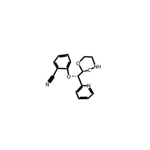 N#Cc1ccccc1O[C@@H](c1ccccn1)[C@@H]1CNCCO1